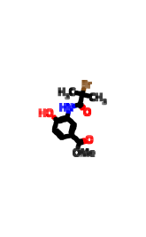 COC(=O)c1ccc(O)c(NC(=O)C(C)(C)Br)c1